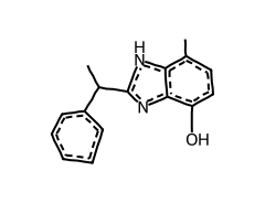 Cc1ccc(O)c2nc(C(C)c3ccccc3)[nH]c12